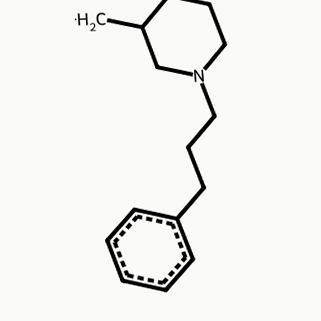 [CH2]C1CCCN(CCCc2ccccc2)C1